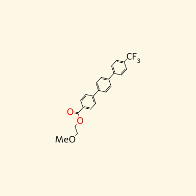 COCCOC(=O)c1ccc(-c2ccc(-c3ccc(C(F)(F)F)cc3)cc2)cc1